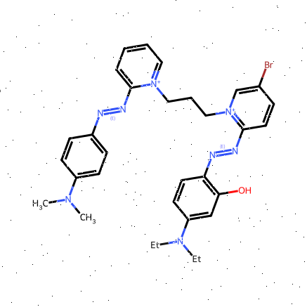 CCN(CC)c1ccc(/N=N/c2ccc(Br)c[n+]2CCC[n+]2ccccc2/N=N/c2ccc(N(C)C)cc2)c(O)c1